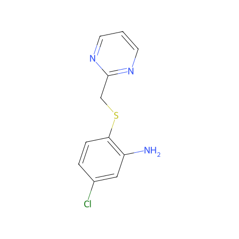 Nc1cc(Cl)ccc1SCc1ncccn1